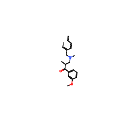 C=C/C=C\C(=C/C)CN(C)CC(C)C(=O)c1cccc(OC)c1